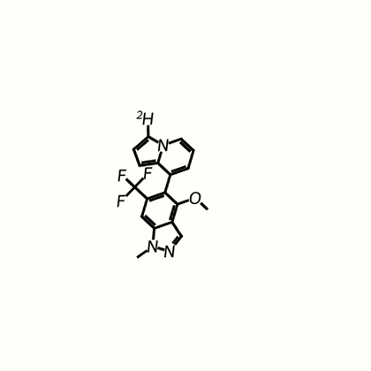 [2H]c1ccc2c(-c3c(C(F)(F)F)cc4c(cnn4C)c3OC)cccn12